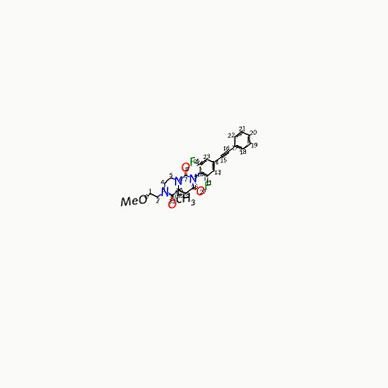 COCCN1CCN2C(=O)N(c3c(F)cc(C#Cc4ccccc4)cc3F)C(=O)CC2(C)C1=O